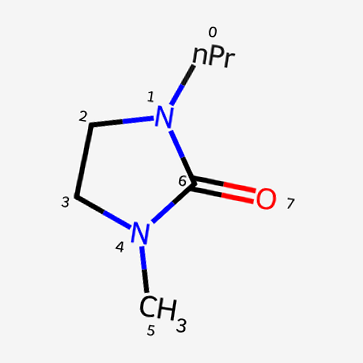 [CH2]CCN1CCN(C)C1=O